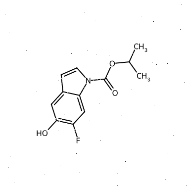 CC(C)OC(=O)n1ccc2cc(O)c(F)cc21